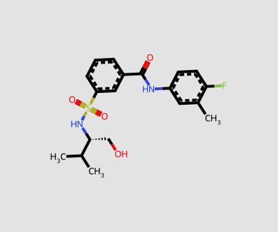 Cc1cc(NC(=O)c2cccc(S(=O)(=O)N[C@H](CO)C(C)C)c2)ccc1F